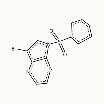 O=S(=O)(c1ccccc1)n1cc(Br)c2nccnc21